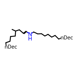 CCCCCCCCCCCCCCCCCCNC=CCC(C)CCCCCCCCCCCCCC